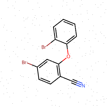 N#Cc1ccc(Br)cc1Oc1ccccc1Br